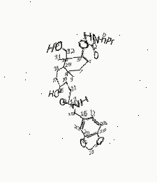 CCCNC(=O)OC1CCC2(C)C(CC(=O)NCc3ccc4c(c3)OCO4)C(O)CCC2C1(C)CO